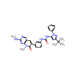 CNc1ncc2cc(-c3cccc(NC(=O)Nc4cc(C(C)(C)C)nn4-c4ccccc4)c3)c(=O)n(C)c2n1